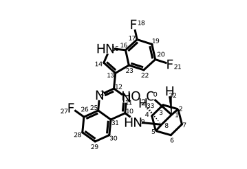 O=C(O)[C@@H]1C2CCC(CC2)[C@H]1Nc1nc(-c2c[nH]c3c(F)cc(F)cc23)nc2c(F)cccc12